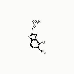 Nc1ccc2sc(COC(=O)O)nc2c1Cl